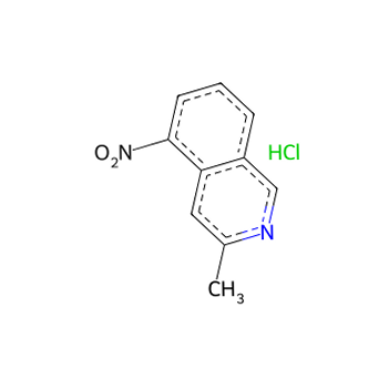 Cc1cc2c([N+](=O)[O-])cccc2cn1.Cl